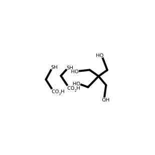 O=C(O)CS.O=C(O)CS.OCC(CO)(CO)CO